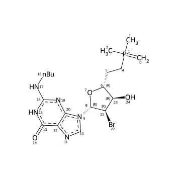 C=P(C)(C)CC[C@H]1O[C@@H](n2cnc3c(=O)[nH]c(NCCCC)nc32)[C@H](Br)[C@@H]1O